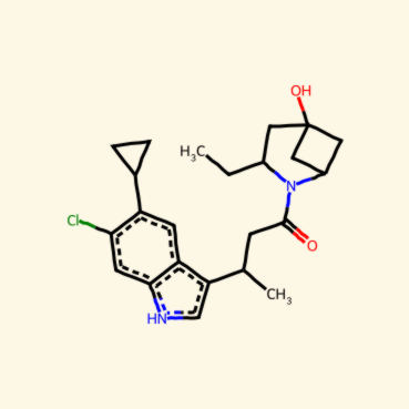 CCC1CC2(O)CC(C2)N1C(=O)CC(C)c1c[nH]c2cc(Cl)c(C3CC3)cc12